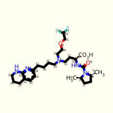 C[C@@H]1CC[C@@H](C)N1C(=O)N[C@@H](CCN(CCCCc1ccc2c(n1)NCCC2)CCOCC(F)F)C(=O)O